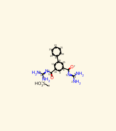 CS(=O)(=O)O.NC(N)=NC(=O)c1cc(C(=O)N=C(N)N)cc(-c2ccccc2)c1